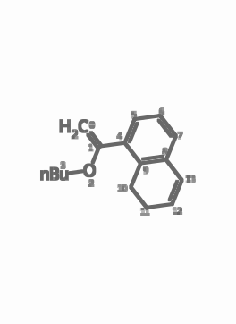 C=C(OCCCC)c1cccc2c1CCC=C2